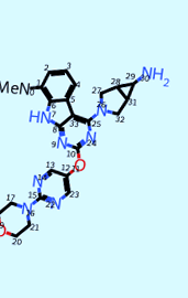 CNc1cccc2c1[nH]c1nc(Oc3cnc(N4CCOCC4)nc3)nc(N3CC4C(N)C4C3)c12